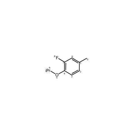 Cc1ccc(OC(C)C)c(F)c1